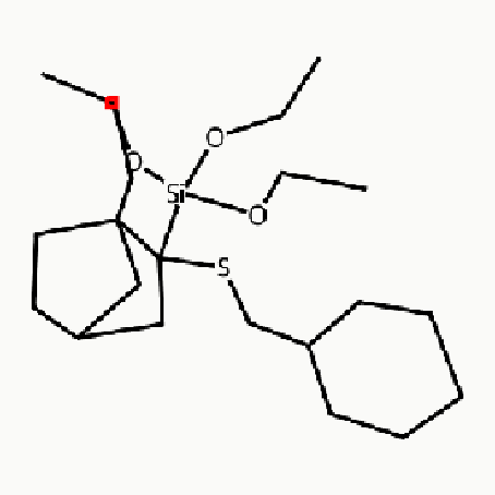 CCO[Si](OCC)(OCC)C1(SCC2CCCCC2)CC2CCC1(CC)C2